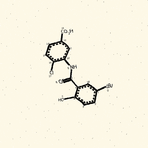 CC(C)(C)c1ccc(O)c(C(=O)Nc2cc(C(=O)O)ccc2Cl)c1